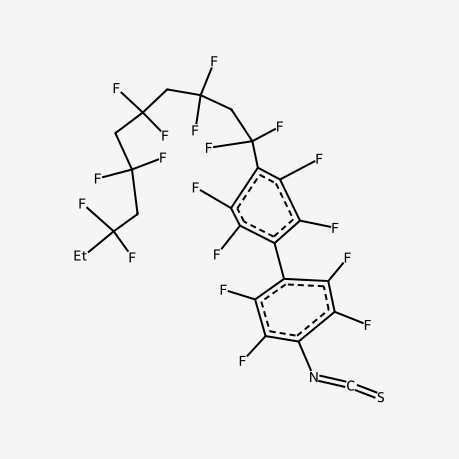 CCC(F)(F)CC(F)(F)CC(F)(F)CC(F)(F)CC(F)(F)c1c(F)c(F)c(-c2c(F)c(F)c(N=C=S)c(F)c2F)c(F)c1F